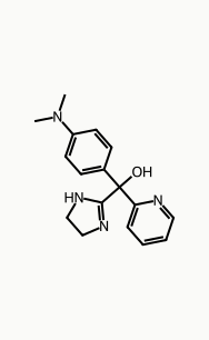 CN(C)c1ccc(C(O)(C2=NCCN2)c2ccccn2)cc1